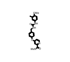 CNC(=O)c1cc(Oc2ccc(CNC(=O)Nc3ccc(OC)c(C)c3)cc2)ccn1